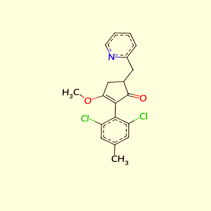 COC1=C(c2c(Cl)cc(C)cc2Cl)C(=O)C(Cc2ccccn2)C1